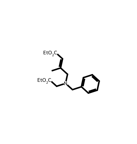 CCOC(=O)/C=C(\C)CN(CC(=O)OCC)Cc1ccccc1